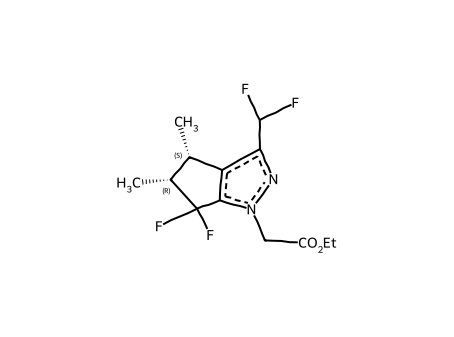 CCOC(=O)Cn1nc(C(F)F)c2c1C(F)(F)[C@H](C)[C@@H]2C